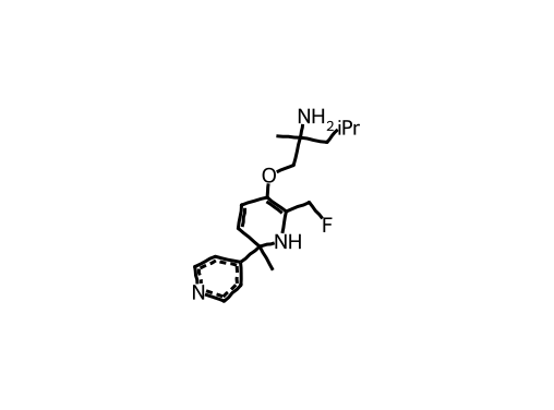 CC(C)CC(C)(N)COC1=C(CF)NC(C)(c2ccncc2)C=C1